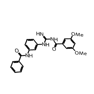 COc1cc(OC)cc(C(=O)NC(=N)Nc2cccc(NC(=O)c3ccccc3)c2)c1